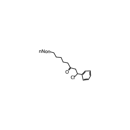 CCCCCCCCCCCCCCC(=O)CC(Cl)c1ccccc1